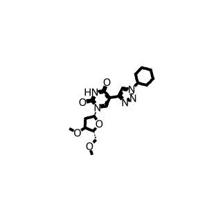 COC[C@H]1O[C@@H](n2cc(-c3cn(C4CCCCC4)nn3)c(=O)[nH]c2=O)CC1OC